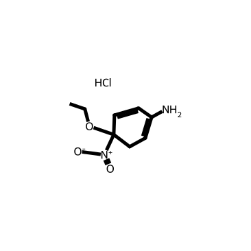 CCOC1([N+](=O)[O-])C=CC(N)=CC1.Cl